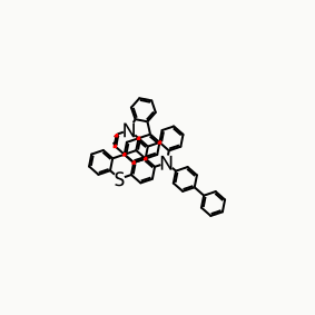 c1ccc(-c2ccc(N(c3ccc4c(c3)C3(c5ccccc5S4)c4ccccc4-n4c5ccccc5c5cccc3c54)c3ccccc3-c3ccccc3)cc2)cc1